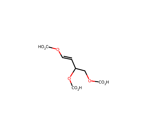 O=C(O)OC=CC(COC(=O)O)OC(=O)O